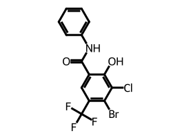 O=C(Nc1ccccc1)c1cc(C(F)(F)F)c(Br)c(Cl)c1O